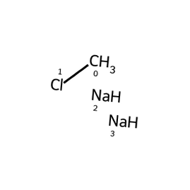 CCl.[NaH].[NaH]